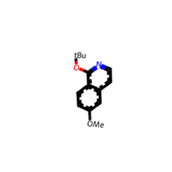 COc1ccc2c(OC(C)(C)C)nccc2c1